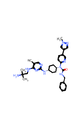 Cn1cc(-c2ccc(N(C(=O)NCc3ccccc3)[C@H]3CC[C@@H](Nc4ncc(C#N)c(NCC(C)(C)N)n4)CC3)nc2)cn1